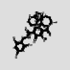 C[C@H]1CC[C@@]2(ON=C3OCCC[C@@H]32)[C@H]2CN1C(=O)c1c(O)c(=O)c(C(=O)NCc3c(F)cc(F)cc3F)cn12